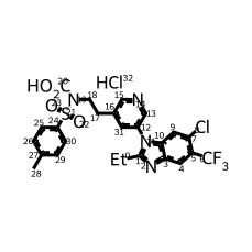 CCc1nc2cc(C(F)(F)F)c(Cl)cc2n1-c1cncc(CCN(C(=O)O)S(=O)(=O)c2ccc(C)cc2)c1.Cl